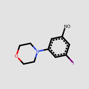 O=Nc1cc(I)cc(N2CCOCC2)c1